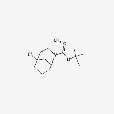 C.CC(C)(C)OC(=O)N1CCC2(Cl)CCCC1C2